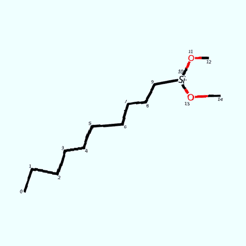 CCCCCCCCCC[Si](OC)OC